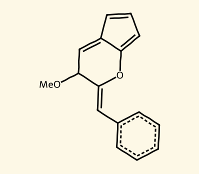 COC1C=C2C=CC=C2OC1=Cc1ccccc1